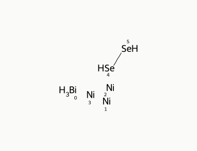 [BiH3].[Ni].[Ni].[Ni].[SeH][SeH]